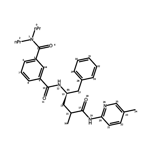 CCCN(CCC)C(=O)c1cccc(C(=O)N[C@H]([CH]C(C)C(=O)Nc2ccc(C)cn2)Cc2ccccc2)c1